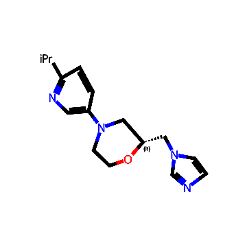 CC(C)c1ccc(N2CCO[C@@H](Cn3ccnc3)C2)cn1